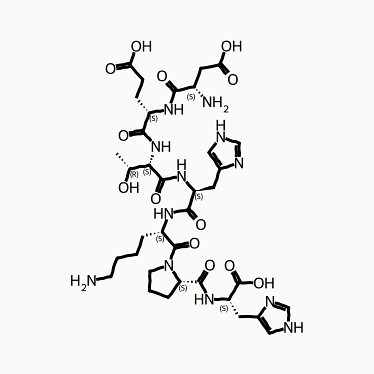 C[C@@H](O)[C@H](NC(=O)[C@H](CCC(=O)O)NC(=O)[C@@H](N)CC(=O)O)C(=O)N[C@@H](Cc1c[nH]cn1)C(=O)N[C@@H](CCCCN)C(=O)N1CCC[C@H]1C(=O)N[C@@H](Cc1c[nH]cn1)C(=O)O